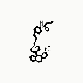 CCCC(=O)Nc1ccc(C=CCN2CCC(=C3c4ccccc4C=Cc4ccccc43)CC2)cc1.Cl